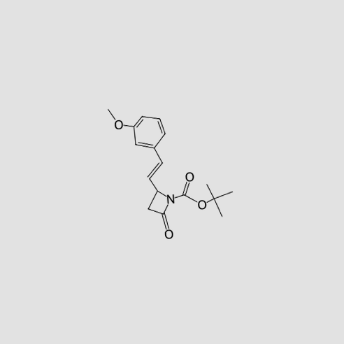 COc1cccc(/C=C/C2CC(=O)N2C(=O)OC(C)(C)C)c1